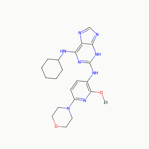 CCOc1nc(N2CCOCC2)ccc1Nc1nc(NC2CCCCC2)c2ncnc-2[nH]1